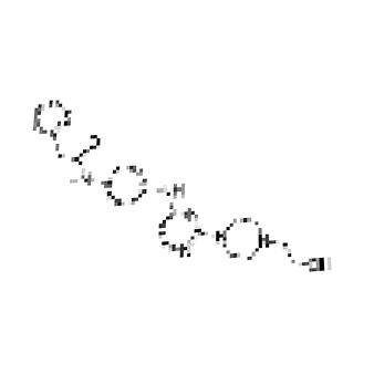 O=C(Cc1cccs1)Nc1ccc(Nc2ccnc(N3CCN(CCO)CC3)n2)cc1